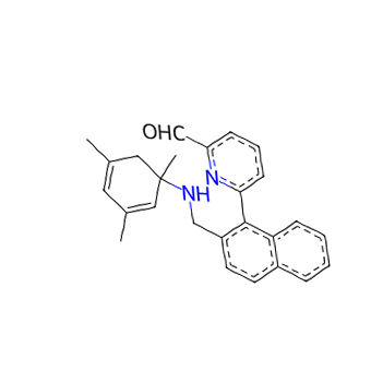 CC1=CC(C)(NCc2ccc3ccccc3c2-c2cccc(C=O)n2)CC(C)=C1